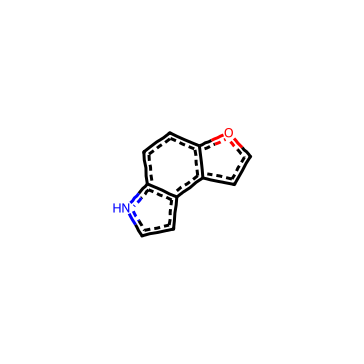 c1cc2c(ccc3occc32)[nH]1